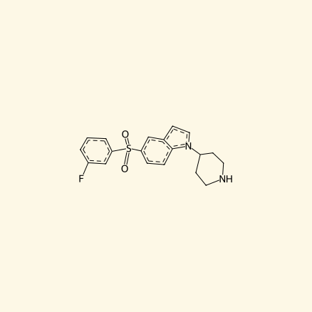 O=S(=O)(c1cccc(F)c1)c1ccc2c(ccn2C2CCNCC2)c1